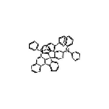 c1ccc(-c2ccc(N(c3ccccc3)c3cc4ccccc4c4c3C3(c5ccccc5-c5cc(N(c6ccccc6)c6ccccc6)ccc53)c3ccccc3-4)cc2)cc1